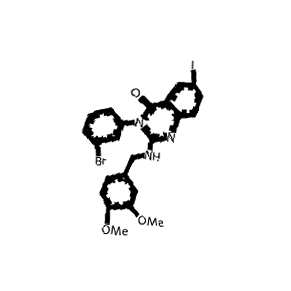 COc1ccc(CNc2nc3ccc(I)cc3c(=O)n2-c2cccc(Br)c2)cc1OC